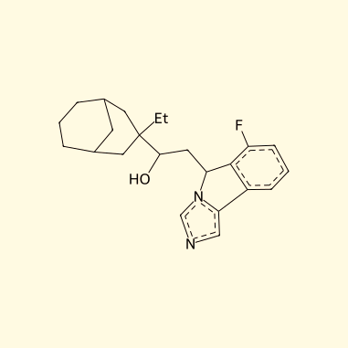 CCC1(C(O)CC2c3c(F)cccc3-c3cncn32)CC2CCCC(C2)C1